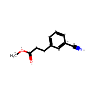 COC(=O)CCc1cccc(C#N)c1